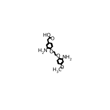 COc1ccc(OCCOc2ccc(CC(=O)O)cc2N)c(N)c1